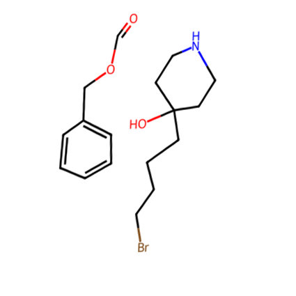 O=COCc1ccccc1.OC1(CCCCBr)CCNCC1